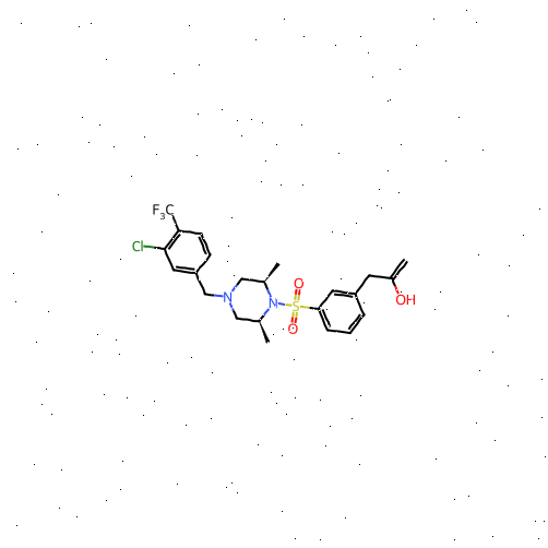 C=C(O)Cc1cccc(S(=O)(=O)N2[C@H](C)CN(Cc3ccc(C(F)(F)F)c(Cl)c3)C[C@@H]2C)c1